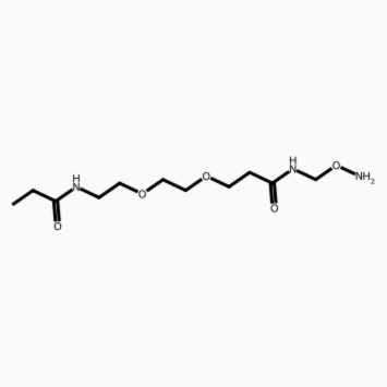 CCC(=O)NCCOCCOCCC(=O)NCON